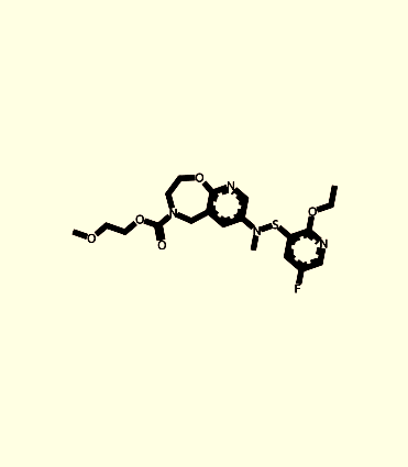 CCOc1ncc(F)cc1SN(C)c1cnc2c(c1)CN(C(=O)OCCOC)CCO2